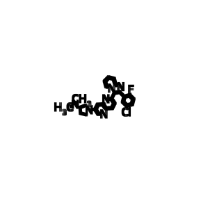 CN(C)[C@H]1CCN(c2cnc3ccc(-c4c(-c5cc(Cl)ccc5F)nc5ccccn45)nc3c2)C1